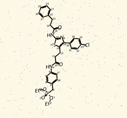 CCOP(=O)(Cc1ccc(NC(=O)CCc2sc(NC(=O)CCc3ccccc3)nc2-c2ccc(Cl)cc2)cc1)OCC